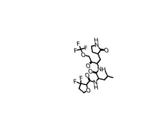 CC(C)CC(NC(=O)C1OCCC1(F)F)C(=O)NC(CC1CCNC1=O)C(=O)COC(F)(F)F